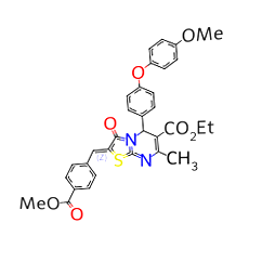 CCOC(=O)C1=C(C)N=c2s/c(=C\c3ccc(C(=O)OC)cc3)c(=O)n2C1c1ccc(Oc2ccc(OC)cc2)cc1